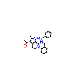 CC(=O)c1c(C)[nH]c2c(N(Cc3ccccc3)Cc3ccccc3)nccc12